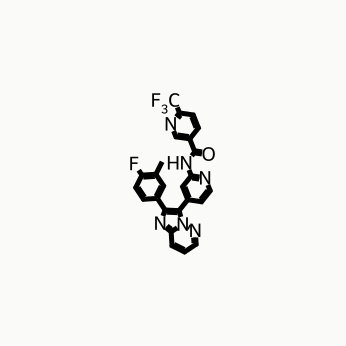 Cc1cc(-c2nc3cccnn3c2-c2ccnc(NC(=O)c3ccc(C(F)(F)F)nc3)c2)ccc1F